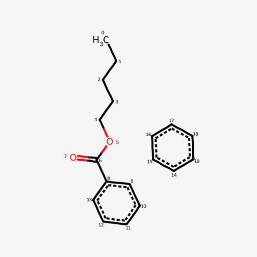 CCCCCOC(=O)c1ccccc1.c1ccccc1